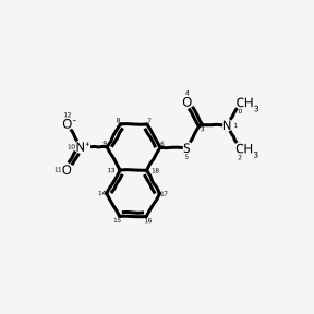 CN(C)C(=O)Sc1ccc([N+](=O)[O-])c2ccccc12